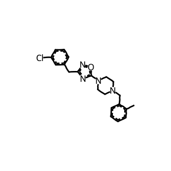 Cc1ccccc1CN1CCN(c2nc(Cc3cccc(Cl)c3)no2)CC1